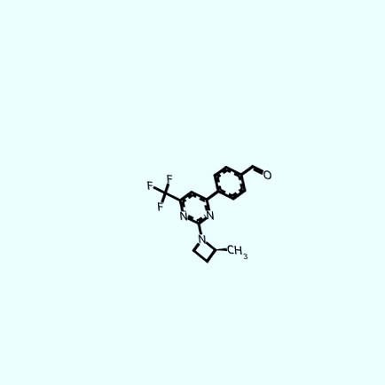 C[C@H]1CCN1c1nc(-c2ccc(C=O)cc2)cc(C(F)(F)F)n1